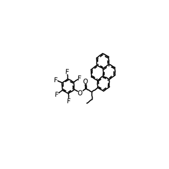 CCC(C(=O)Oc1c(F)c(F)c(F)c(F)c1F)c1ccc2ccc3cccc4ccc1c2c34